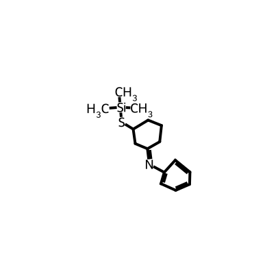 C[Si](C)(C)SC1CCC/C(=N\c2ccccc2)C1